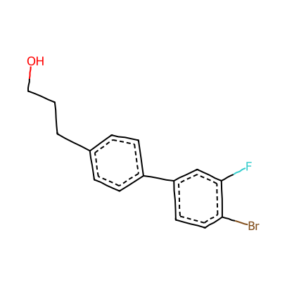 OCCCc1ccc(-c2ccc(Br)c(F)c2)cc1